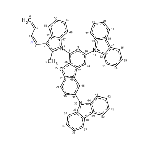 C=C/C=C\c1c(C)n(-c2cc(-n3c4ccccc4c4ccccc43)cc3c2oc2ccc(-n4c5ccccc5c5ccccc54)cc23)c2ccccc12